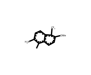 COc1ccc2c(C)c(N)ccc2c1C(F)(F)F